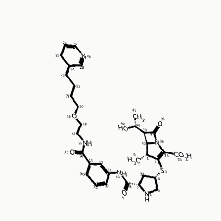 C[C@H]1C(S[C@@H]2CN[C@H](C(=O)NC3=CC(C(=O)NCCOCCCCC4C=NC=CC4)CC=C3)C2)=C(C(=O)O)N2C(=O)[C@H]([C@@H](C)O)C12